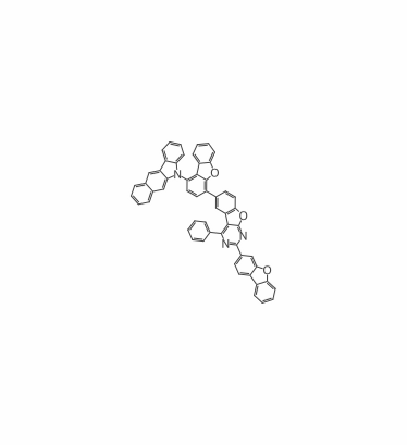 c1ccc(-c2nc(-c3ccc4c(c3)oc3ccccc34)nc3oc4ccc(-c5ccc(-n6c7ccccc7c7cc8ccccc8cc76)c6c5oc5ccccc56)cc4c23)cc1